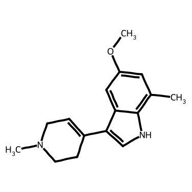 COc1cc(C)c2[nH]cc(C3=CCN(C)CC3)c2c1